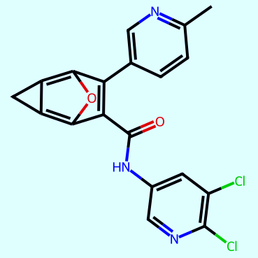 Cc1ccc(-c2c(C(=O)Nc3cnc(Cl)c(Cl)c3)c3oc2c2c3C2)cn1